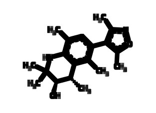 Cc1cc(-c2c(C)noc2C)c(C)c2c1NC(C)(C)[C@H](O)[C@H]2C